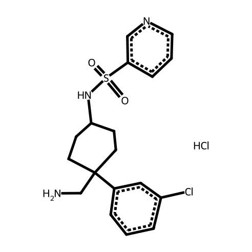 Cl.NCC1(c2cccc(Cl)c2)CCC(NS(=O)(=O)c2cccnc2)CC1